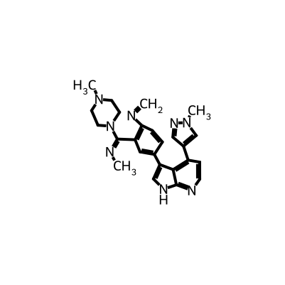 C=Nc1ccc(-c2c[nH]c3nccc(-c4cnn(C)c4)c23)cc1/C(=N\C)N1CCN(C)CC1